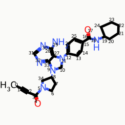 CC#CC(=O)N1CC[C@@H](N2CN(c3ccc(C(=O)NC4CCCCC4)cc3)c3c(N)ncnc32)C1